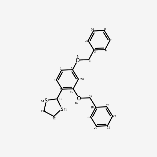 c1ccc(COc2ccc(C3SCCS3)c(OCc3ccccc3)c2)cc1